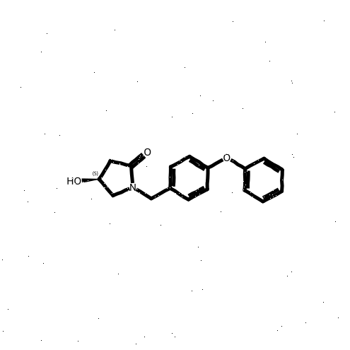 O=C1C[C@H](O)CN1Cc1ccc(Oc2ccccc2)cc1